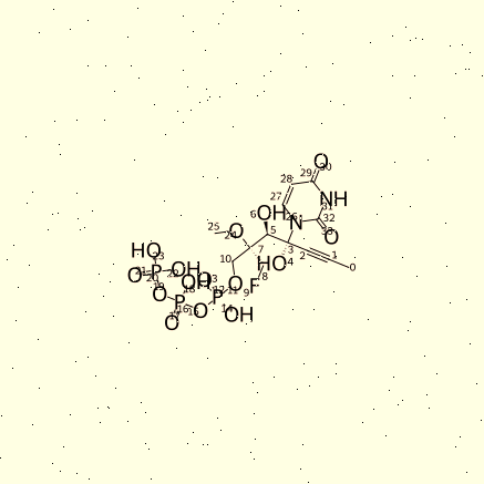 CC#C[C@@](O)([C@H](O)[C@@](CF)(COP(=O)(O)OP(=O)(O)OP(=O)(O)O)OC)n1ccc(=O)[nH]c1=O